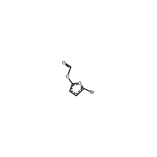 O=COc1ccc(Br)o1